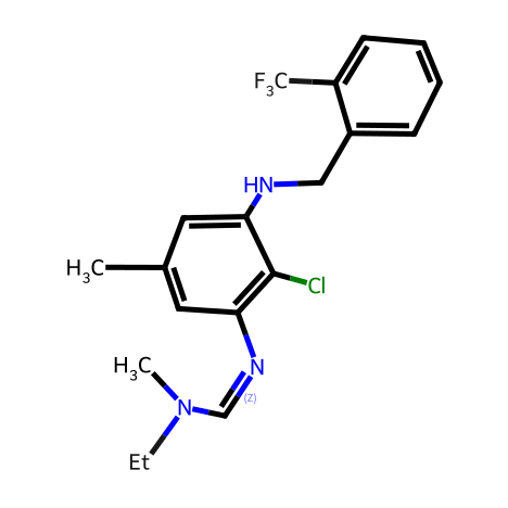 CCN(C)/C=N\c1cc(C)cc(NCc2ccccc2C(F)(F)F)c1Cl